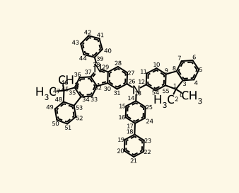 CC1(C)c2ccccc2-c2ccc(N(c3ccc(-c4ccccc4)cc3)c3ccc4c(c3)c3cc5c(cc3n4-c3ccccc3)C(C)(C)c3ccccc3-5)cc21